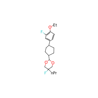 CCCC1(F)COC(C2CCC(c3ccc(OCC)c(F)c3)CC2)OC1